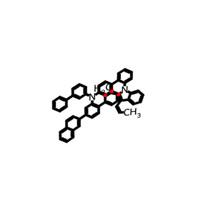 C=Cc1c(/C=C\C)c2ccccc2n1-c1ccccc1-c1ccc(N(c2cccc(-c3ccccc3)c2)c2cc(-c3ccc4ccccc4c3)ccc2-c2ccccc2)cc1